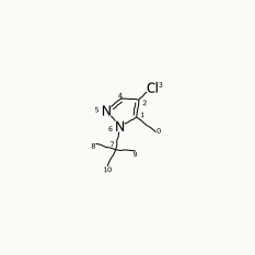 Cc1c(Cl)cnn1C(C)(C)C